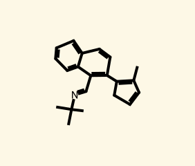 CC1=C(c2ccc3ccccc3c2C=NC(C)(C)C)CC=C1